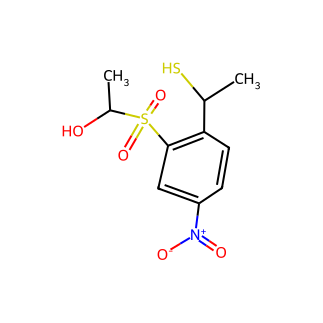 CC(S)c1ccc([N+](=O)[O-])cc1S(=O)(=O)C(C)O